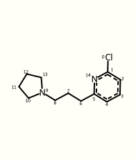 Clc1cccc(CCCN2CCCC2)n1